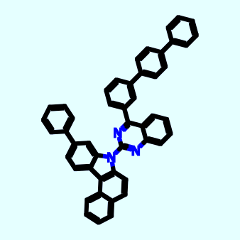 c1ccc(-c2ccc(-c3cccc(-c4nc(-n5c6cc(-c7ccccc7)ccc6c6c7ccccc7ccc65)nc5ccccc45)c3)cc2)cc1